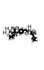 CC1(C)CC(c2cc(NC(=O)Cc3ccc(-c4nn(C5(C)CC5)c(N)c4C(N)=O)cc3)on2)C1